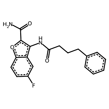 NC(=O)c1oc2ccc(F)cc2c1NC(=O)CCCc1ccccc1